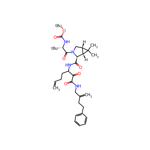 C=CCCC(NC(=O)[C@@H]1[C@@H]2[C@H](CN1C(=O)[C@@H](NC(=O)OC(C)(C)C)C(C)(C)C)C2(C)C)C(=O)C(=O)NCC(=C)CCc1ccccc1